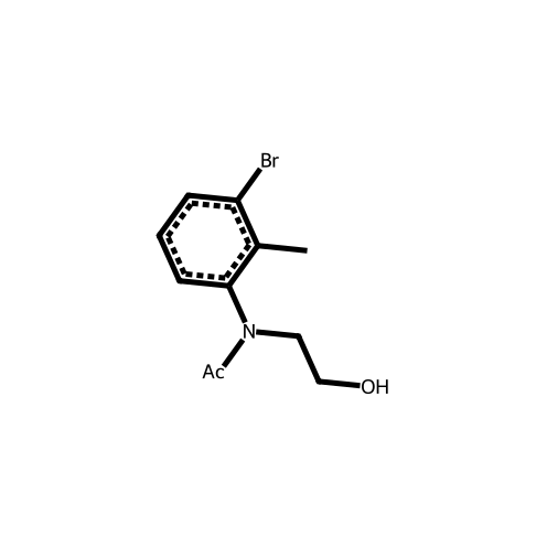 CC(=O)N(CCO)c1cccc(Br)c1C